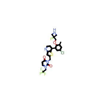 Cc1cc(Cl)cc(-c2ccnc3cc(Cn4c(=O)ccn(CC(F)(F)F)c4=O)sc23)c1OCC1(F)CNC1